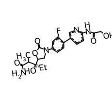 [CH2]C[C@@](O)(C1CN(c2ccc(-c3ccc(NC(=O)CO)nc3)c(F)c2)C(=O)O1)C(C)C(N)=O